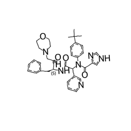 CC(C)(C)c1ccc(N(C(=O)c2c[nH]cn2)C(C(=O)N[C@@H](Cc2ccccc2)[C@H](O)CN2CCOCC2)c2cccnc2)cc1